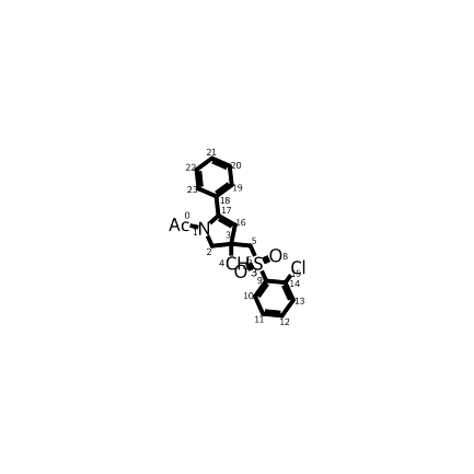 CC(=O)N1CC(C)(CS(=O)(=O)c2ccccc2Cl)C=C1c1ccccc1